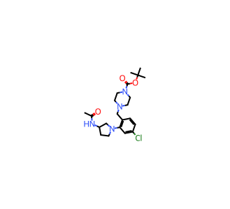 CC(=O)NC1CCN(c2cc(Cl)ccc2CN2CCN(C(=O)OC(C)(C)C)CC2)C1